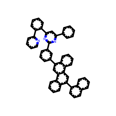 c1ccc(-c2cc(-c3ccccc3-c3ccccn3)nc(-c3cccc(-c4cc5c6ccccc6c(-c6cccc7ccccc67)cc5c5ccccc45)c3)n2)cc1